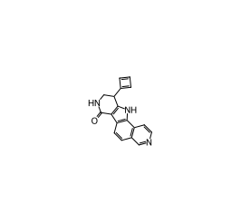 O=C1NCC(C2=CC=C2)c2[nH]c3c(ccc4cnccc43)c21